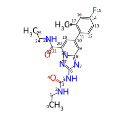 CCNC(=O)Nc1nc2cc(-c3ccc(F)cc3C)cc(C(=O)NCC)n2n1